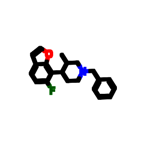 CC1CN(Cc2ccccc2)CCC1c1c(F)ccc2ccoc12